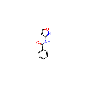 O=C(Nc1ccon1)c1ccccc1